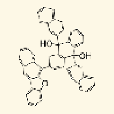 OC1(c2ccc3ccccc3c2)c2ccccc2C(O)(c2ccc3ccccc3c2)c2cc(-c3c4ccccc4cc4c3oc3ccccc34)ccc21